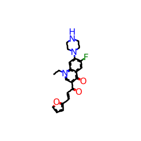 CCn1cc(C(=O)C=Cc2ccco2)c(=O)c2cc(F)c(N3CCNCC3)cc21